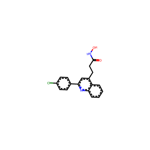 O=C(CCc1cc(-c2ccc(Cl)cc2)nc2ccccc12)NO